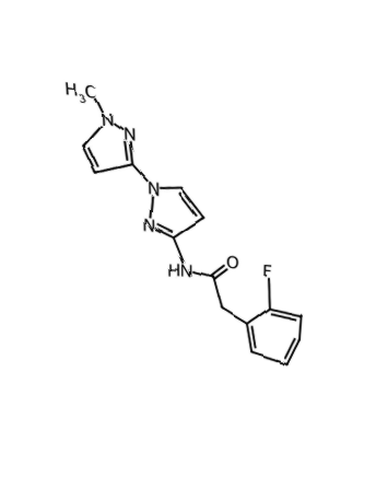 Cn1ccc(-n2ccc(NC(=O)Cc3ccccc3F)n2)n1